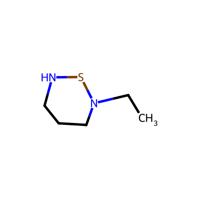 CCN1CCCNS1